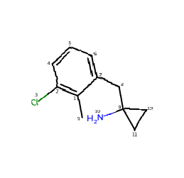 Cc1c(Cl)cccc1CC1(N)CC1